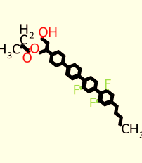 C=C(C)C(=O)OCC(CCO)C1CCC(C2=CC=C(C3=C(F)C=C(C4=C(F)C=C(CCCCC)CC4F)CC3)CC2)CC1